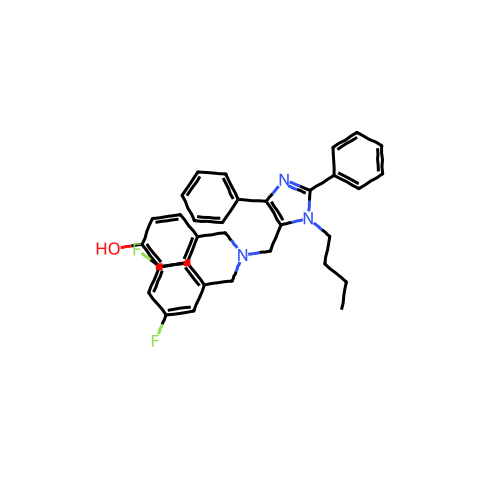 CCCCn1c(-c2ccccc2)nc(-c2ccccc2)c1CN(Cc1ccc(O)cc1)Cc1cc(F)cc(F)c1